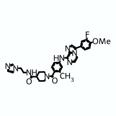 COc1ccc(-c2cnc3c(Nc4ccc(C(=O)N5CCC(C(=O)NCCn6ccnc6)CC5)c(C)c4)nccn23)cc1F